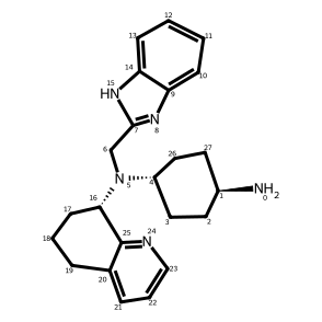 N[C@H]1CC[C@H](N(Cc2nc3ccccc3[nH]2)[C@H]2CCCc3cccnc32)CC1